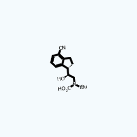 CC(C)(C)N(C[C@@H](O)[C@H]1CCc2c(C#N)cccc21)C(=O)O